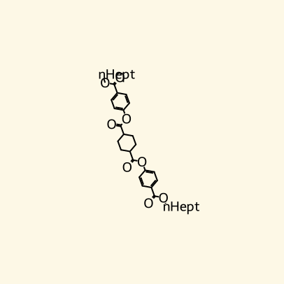 CCCCCCCOC(=O)c1ccc(OC(=O)C2CCC(C(=O)Oc3ccc(C(=O)OCCCCCCC)cc3)CC2)cc1